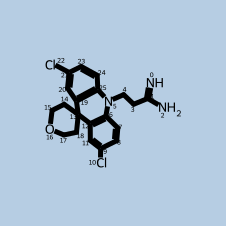 N=C(N)CCN1c2ccc(Cl)cc2C2(CCOCC2)c2cc(Cl)ccc21